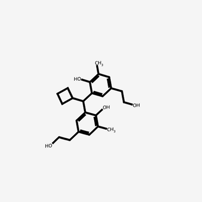 Cc1cc(CCO)cc(C(c2cc(CCO)cc(C)c2O)C2CCC2)c1O